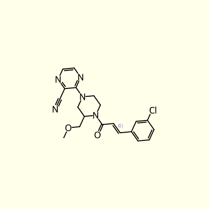 COCC1CN(c2nccnc2C#N)CCN1C(=O)/C=C/c1cccc(Cl)c1